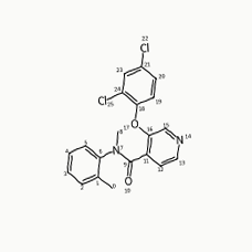 Cc1ccccc1N(C)C(=O)c1ccncc1Oc1ccc(Cl)cc1Cl